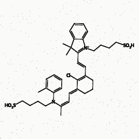 C/C(=C/C=C1\CCCC(/C=C/C2=[N+](CCCCS(=O)(=O)O)c3ccccc3C2(C)C)=C1Cl)N(CCCCS(=O)(=O)O)c1ccccc1C